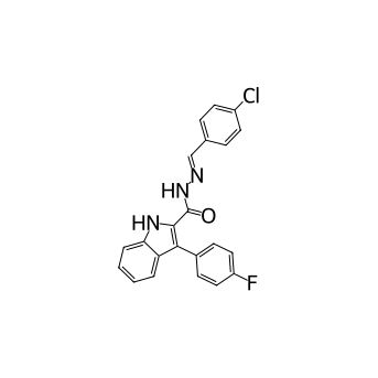 O=C(NN=Cc1ccc(Cl)cc1)c1[nH]c2ccccc2c1-c1ccc(F)cc1